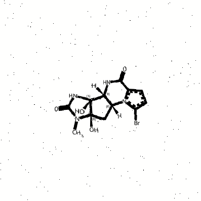 CN1C(=O)N[C@]2(O)[C@@H]3NC(=O)c4ccc(Br)n4[C@@H]3C[C@]12O